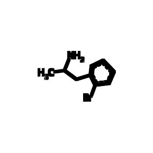 CC(N)Cc1ccccc1Br